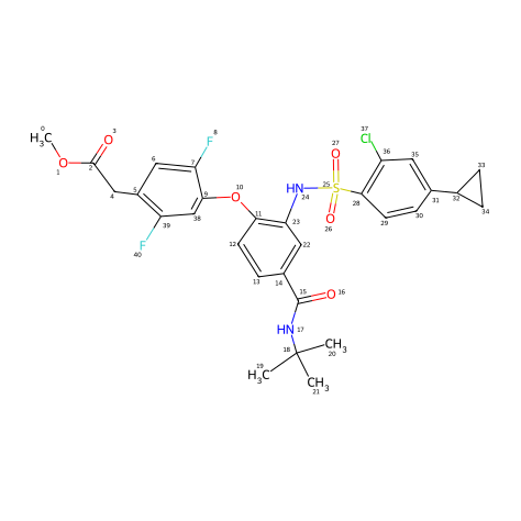 COC(=O)Cc1cc(F)c(Oc2ccc(C(=O)NC(C)(C)C)cc2NS(=O)(=O)c2ccc(C3CC3)cc2Cl)cc1F